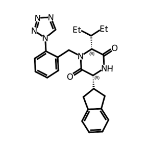 CCC(CC)[C@@H]1C(=O)N[C@H](C2Cc3ccccc3C2)C(=O)N1Cc1ccccc1-n1cnnn1